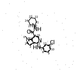 Cn1ccc2c(Nc3cccc(Cl)c3)ncc(C(=O)NN3CCCCC3)c21